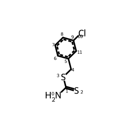 NC(=S)SCc1cccc(Cl)c1